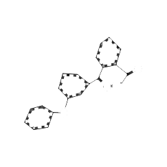 O=C(Cl)c1ccccc1C(=O)c1cccc(Oc2ccccc2)c1